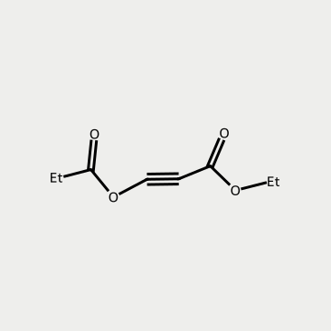 CCOC(=O)C#COC(=O)CC